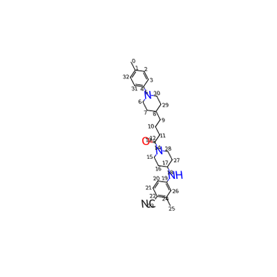 Cc1ccc(N2CCC(CCCC(=O)N3CCC(Nc4ccc(C#N)c(C)c4)CC3)CC2)cc1